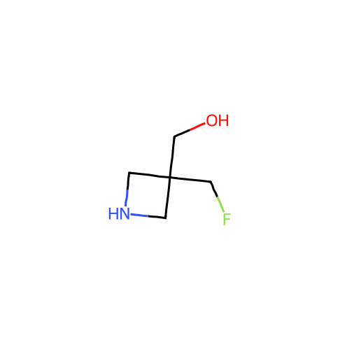 OCC1(CF)CNC1